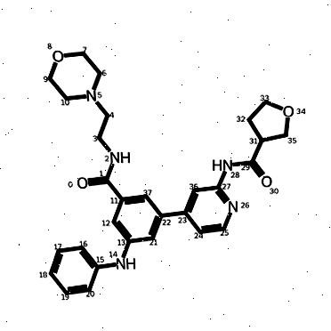 O=C(NCCN1CCOCC1)c1cc(Nc2ccccc2)cc(-c2ccnc(NC(=O)C3CCOC3)c2)c1